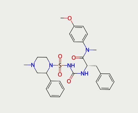 COc1ccc(N(C)C(=O)[C@H](Cc2ccccc2)NC(=O)NS(=O)(=O)N2CCN(C)CC2c2ccccc2)cc1